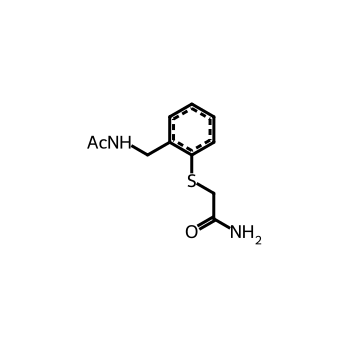 CC(=O)NCc1ccccc1SCC(N)=O